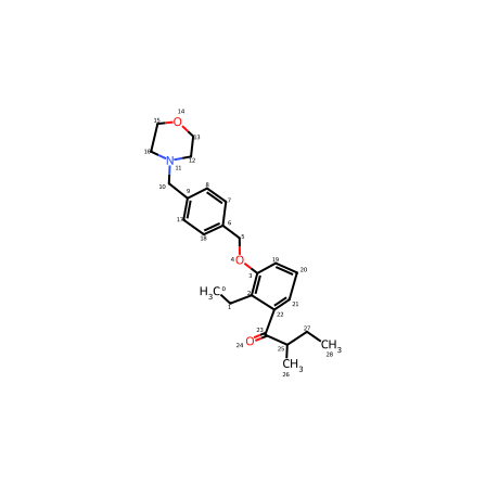 CCc1c(OCc2ccc(CN3CCOCC3)cc2)cccc1C(=O)C(C)CC